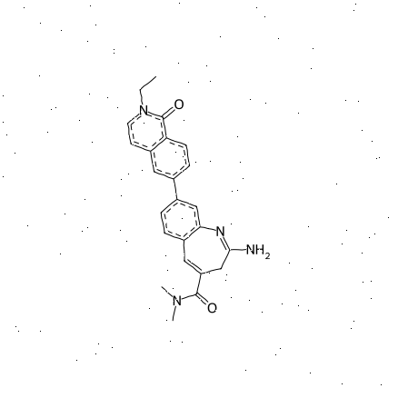 CCn1ccc2cc(-c3ccc4c(c3)N=C(N)CC(C(=O)N(C)C)=C4)ccc2c1=O